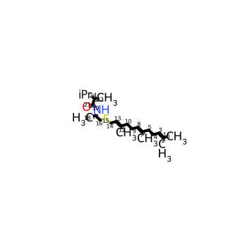 CC(C)=CCC/C(C)=C/CC/C(C)=C/CSCC(C)NC(=O)C(C)C(C)C